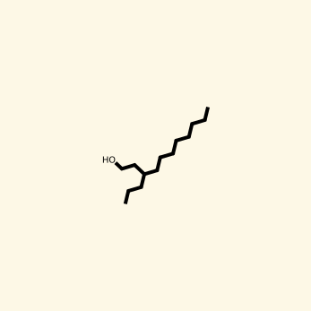 CCCCCCCCC(CCC)CCO